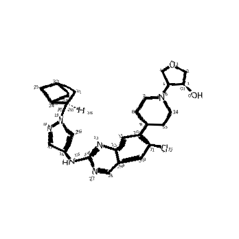 O[C@@H]1COCC1N1CCC(c2cc3nc(Nc4cnn([C@@H]5CC6CC5C6)c4)ncc3cc2Cl)CC1